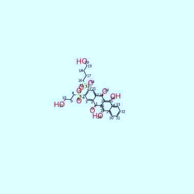 O=C1c2cc(S(=O)(=O)CCCO)c(S(=O)(=O)CCCCO)cc2C(=O)c2c1c(O)c1ccccc1c2O